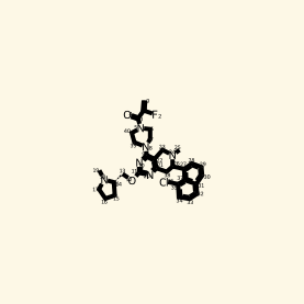 C=C(F)C(=O)N1CCN(c2nc(OC[C@@H]3CCCN3C)nc3c2CN(C)C(c2cccc4cccc(Cl)c24)C3)CC1